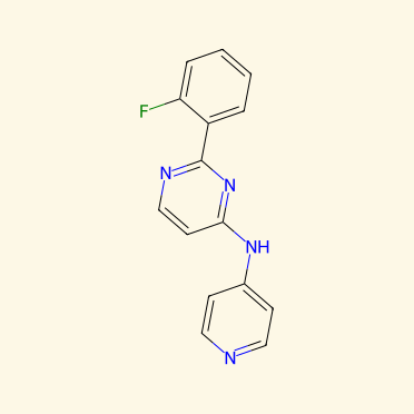 Fc1ccccc1-c1nccc(Nc2ccncc2)n1